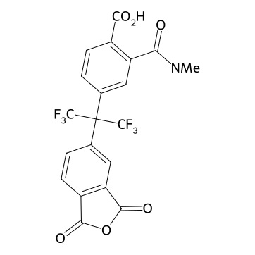 CNC(=O)c1cc(C(c2ccc3c(c2)C(=O)OC3=O)(C(F)(F)F)C(F)(F)F)ccc1C(=O)O